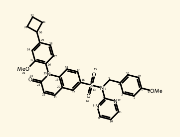 COc1ccc(CN(c2ncccn2)S(=O)(=O)c2ccc3c(ccc(=O)n3-c3ccc(C4CCC4)cc3OC)c2)cc1